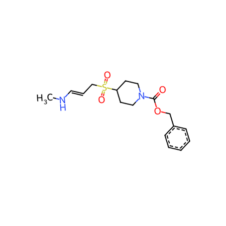 CNC=CCS(=O)(=O)C1CCN(C(=O)OCc2ccccc2)CC1